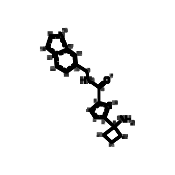 NC1(c2ccc(C(=O)NCc3ccn4ccnc4c3)s2)CCC1